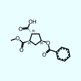 COC(=O)[C@@H]1C[C@H](OC(=O)c2ccccc2)C[C@H]1C(=O)O